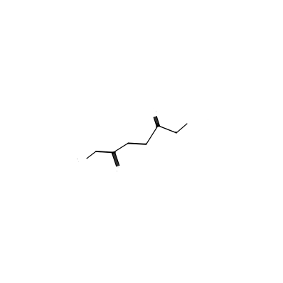 CC(=O)CC(=O)CCC(=O)CC=O